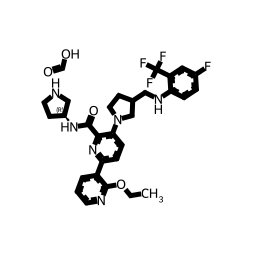 CCOc1ncccc1-c1ccc(N2CCC(CNc3ccc(F)cc3C(F)(F)F)C2)c(C(=O)N[C@@H]2CCNC2)n1.O=CO